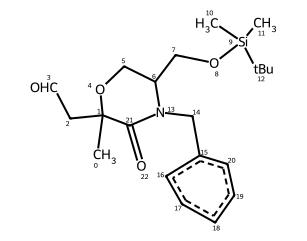 CC1(CC=O)OCC(CO[Si](C)(C)C(C)(C)C)N(Cc2ccccc2)C1=O